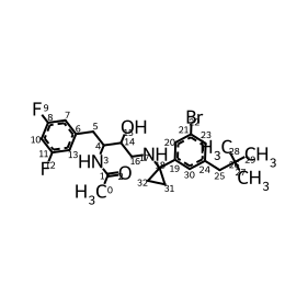 CC(=O)NC(Cc1cc(F)cc(F)c1)C(O)CNC1(c2cc(Br)cc(CC(C)(C)C)c2)CC1